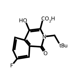 CC(C)(C)Cn1c(C(=O)O)c(O)c2ccc(F)cc2c1=O